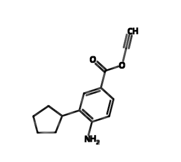 C#COC(=O)c1ccc(N)c(C2CCCC2)c1